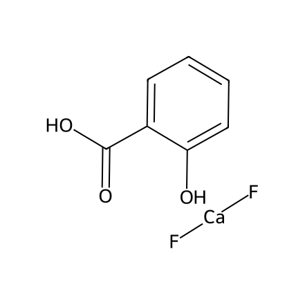 O=C(O)c1ccccc1O.[F][Ca][F]